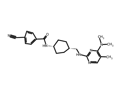 Cc1cnc(NC[C@H]2CC[C@@H](NC(=O)c3ccc(C#N)cc3)CC2)nc1N(C)C